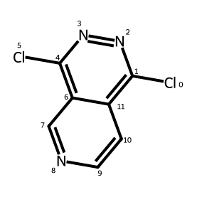 Clc1nnc(Cl)c2cnccc12